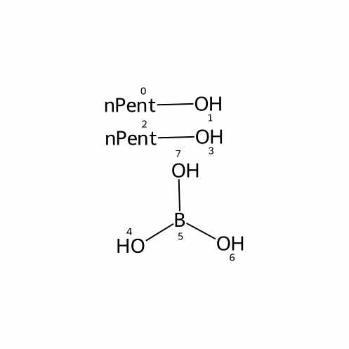 CCCCCO.CCCCCO.OB(O)O